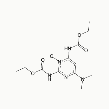 CCOC(=O)Nc1cc(N(C)C)nc(NC(=O)OCC)[n+]1[O-]